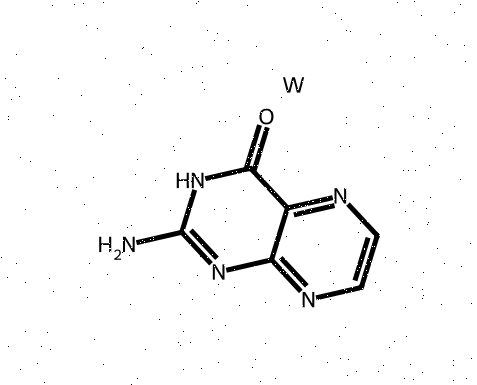 Nc1nc2nccnc2c(=O)[nH]1.[W]